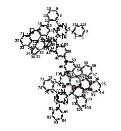 c1ccc(-c2nc(-c3ccccc3-c3ccc4c(c3)Oc3ccccc3C43c4ccccc4-c4ccccc43)nc(-c3cccc4cc(-c5ccc6c(c5)-c5ccccc5C65c6ccccc6Oc6cc(-c7ccccc7-c7nc(-c8ccccc8)nc(-c8ccc(-c9ccccc9)c9ccccc89)n7)ccc65)ccc34)n2)cc1